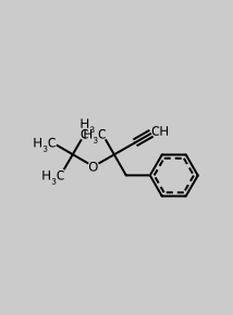 C#CC(C)(Cc1ccccc1)OC(C)(C)C